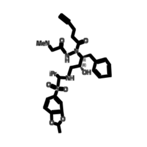 C#CCCC(=O)N(NC(=O)CNC)[C@@H](Cc1ccccc1)[C@H](O)CNC(C(C)C)S(=O)(=O)c1ccc2c(c1)OC(C)O2